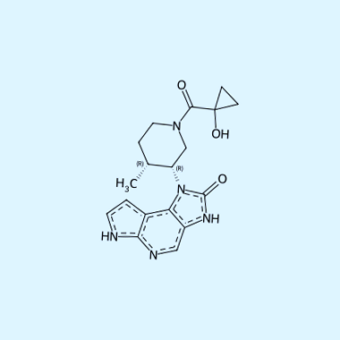 C[C@@H]1CCN(C(=O)C2(O)CC2)C[C@@H]1n1c(=O)[nH]c2cnc3[nH]ccc3c21